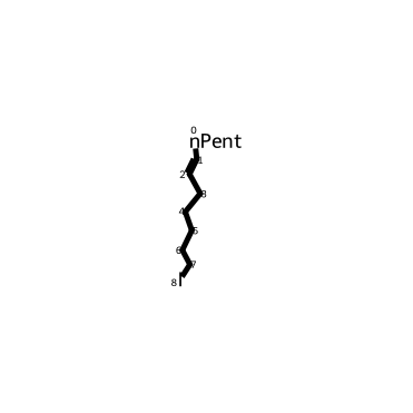 CCCCC/C=C/CCCCCI